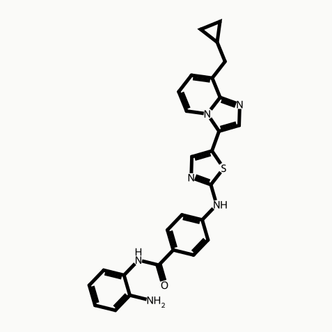 Nc1ccccc1NC(=O)c1ccc(Nc2ncc(-c3cnc4c(CC5CC5)cccn34)s2)cc1